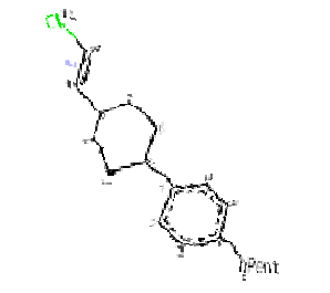 CCCCCc1ccc(C2CCC(/C=C/Cl)CC2)cc1